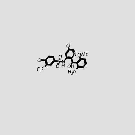 COc1cccc(N)c1C(O)c1ncc(Cl)cc1NS(=O)(=O)c1ccc(Cl)c(C(F)(F)F)c1